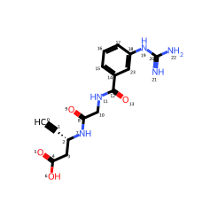 C#C[C@@H](CC(=O)O)NC(=O)CNC(=O)c1cccc(NC(=N)N)c1